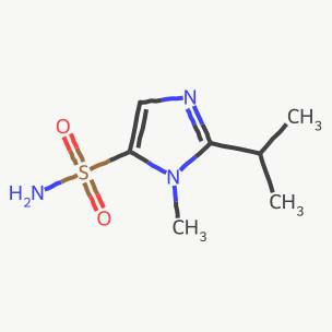 CC(C)c1ncc(S(N)(=O)=O)n1C